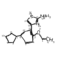 CCOc1ccc(C2CCCC2)cc1-c1csc(N)n1